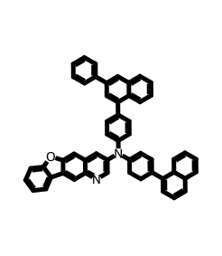 C1=CC2C=CC=C(C3=CC=C(N(c4ccc(-c5cc(-c6ccccc6)cc6ccccc56)cc4)c4cnc5cc6c(cc5c4)oc4ccccc46)CC3)C2C=C1